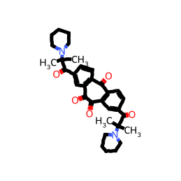 CC(C)(C(=O)c1ccc2c(c1)C(=O)C(=O)c1cc(C(=O)C(C)(C)N3CCCCC3)ccc1C2=O)N1CCCCC1